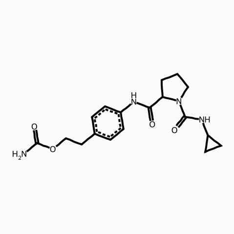 NC(=O)OCCc1ccc(NC(=O)C2CCCN2C(=O)NC2CC2)cc1